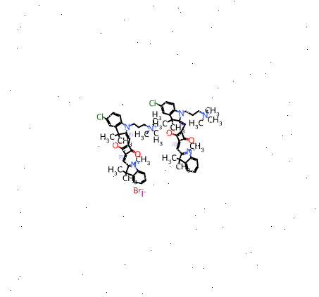 C[N+]1=C(/C=C2\C(=O)C(/C=C3/N(CCC[N+](C)(C)C)c4ccc(Cl)cc4C3(C)C)=C2[O-])C(C)(C)c2ccccc21.C[N+]1=C(/C=C2\C(=O)C(/C=C3/N(CCC[N+](C)(C)C)c4ccc(Cl)cc4C3(C)C)=C2[O-])C(C)(C)c2ccccc21.[Br-].[I-]